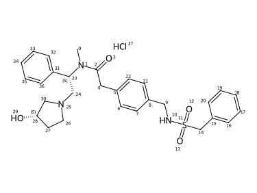 CN(C(=O)Cc1ccc(CNS(=O)(=O)Cc2ccccc2)cc1)[C@H](CN1CC[C@H](O)C1)c1ccccc1.Cl